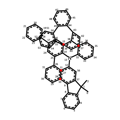 CC1(C)c2ccccc2-c2ccc(N(c3ccc(-c4ccccc4)cc3-c3ccccc3)c3ccccc3-c3c4cccc3-c3ccccc3-c3ccccc3-4)cc21